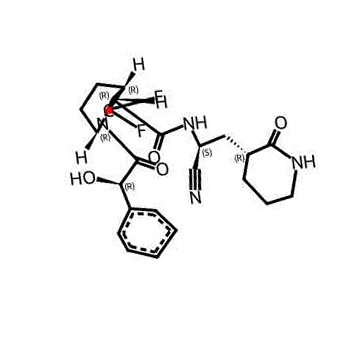 N#C[C@H](C[C@H]1CCCNC1=O)NC(=O)[C@H]1[C@H]2CC[C@H](CC2(F)F)N1C(=O)[C@H](O)c1ccccc1